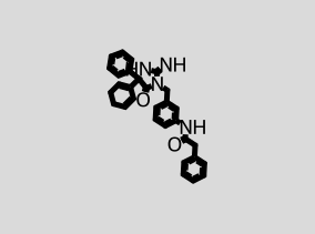 N=C1NC(C2=CCCC=C2)(c2ccccc2)C(=O)N1Cc1cccc(NC(=O)Cc2ccccc2)c1